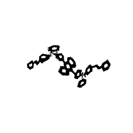 C(=Cc1ccc(N(c2ccccc2)c2ccc(-c3c4ccccc4c(-c4ccc(N(c5ccccc5)c5ccc(C=Cc6ccccc6)cc5)cc4)c4ccccc34)cc2)cc1)c1ccccc1